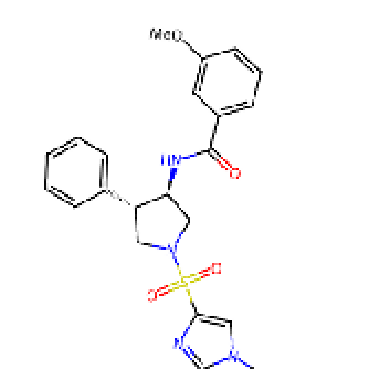 COc1cccc(C(=O)N[C@H]2CN(S(=O)(=O)c3cn(C)cn3)C[C@@H]2c2ccccc2)c1